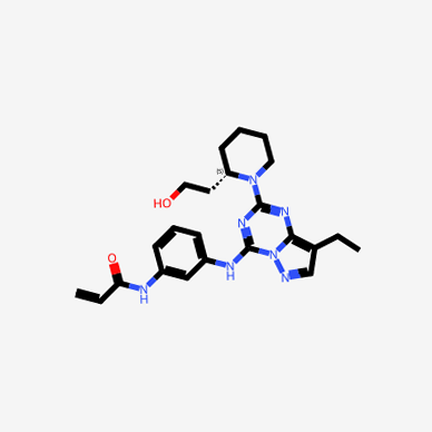 C=CC(=O)Nc1cccc(Nc2nc(N3CCCC[C@H]3CCO)nc3c(CC)cnn23)c1